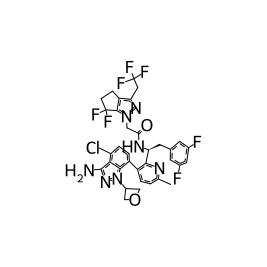 Cc1ccc(-c2ccc(Cl)c3c(N)nn(C4COC4)c23)c([C@H](Cc2cc(F)cc(F)c2)NC(=O)Cn2nc(CC(F)(F)F)c3c2C(F)(F)CC3)n1